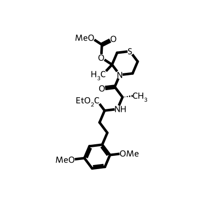 CCOC(=O)C(CCc1cc(OC)ccc1OC)N[C@@H](C)C(=O)N1CCSCC1(C)OC(=O)OC